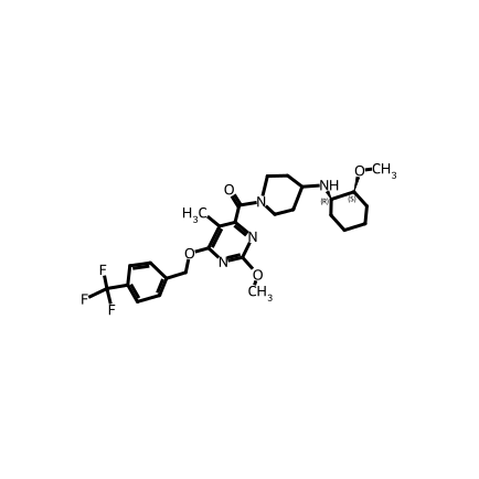 COc1nc(OCc2ccc(C(F)(F)F)cc2)c(C)c(C(=O)N2CCC(N[C@@H]3CCCC[C@@H]3OC)CC2)n1